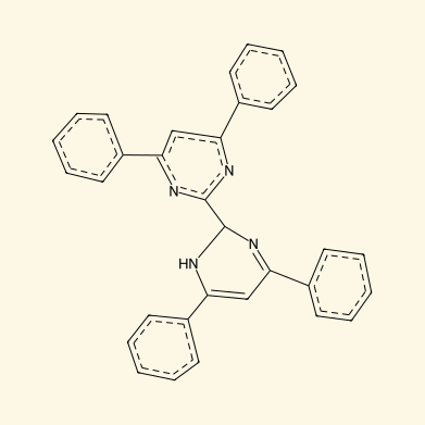 C1=C(c2ccccc2)NC(c2nc(-c3ccccc3)cc(-c3ccccc3)n2)N=C1c1ccccc1